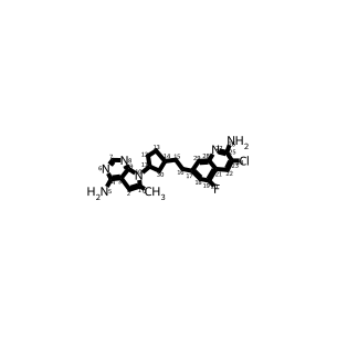 Cc1cc2c(N)ncnc2n1C1CCC(CCc2cc(F)c3cc(Cl)c(N)nc3c2)C1